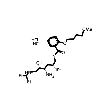 CCC(CC)NC[C@H](O)[C@@H](N)C[C@H](CNC(=O)c1ccccc1OCCCCOC)C(C)C.Cl.Cl